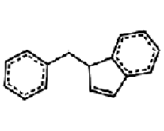 [CH](c1ccccc1)C1C=Cc2ccccc21